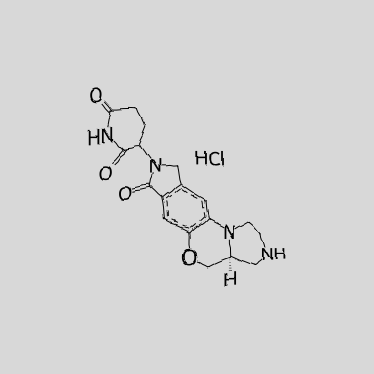 Cl.O=C1CCC(N2Cc3cc4c(cc3C2=O)OC[C@@H]2CNCCN42)C(=O)N1